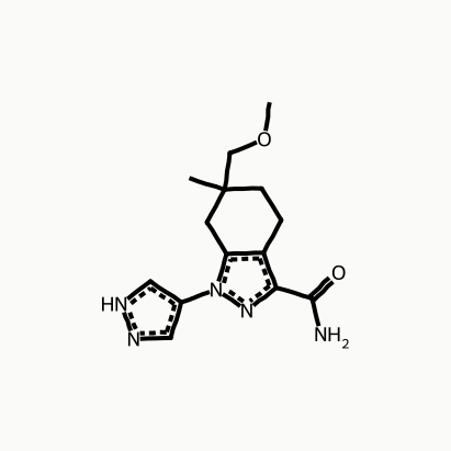 COCC1(C)CCc2c(C(N)=O)nn(-c3cn[nH]c3)c2C1